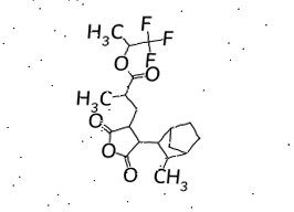 CC(CC1C(=O)OC(=O)C1C1C2CCC(C2)C1C)C(=O)OC(C)C(F)(F)F